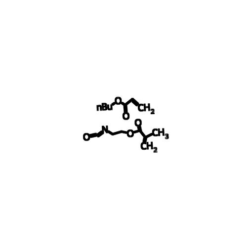 C=C(C)C(=O)OCCN=C=O.C=CC(=O)OCCCC